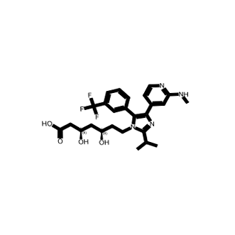 CNc1cc(-c2nc(C(C)C)n(CC[C@@H](O)C[C@@H](O)CC(=O)O)c2-c2cccc(C(F)(F)F)c2)ccn1